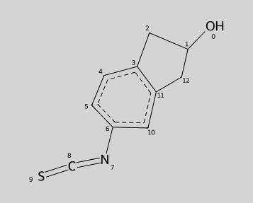 OC1Cc2ccc(N=C=S)cc2C1